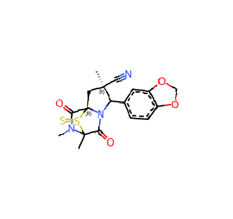 CN1C(=O)[C@]23C[C@@](C)(C#N)C(c4ccc5c(c4)OCO5)N2C(=O)C1(C)S3=S